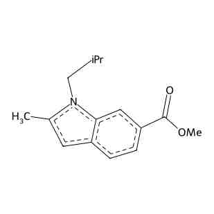 COC(=O)c1ccc2cc(C)n(CC(C)C)c2c1